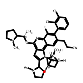 CC(=O)N1CCCC1c1cc2c(O[C@@H](C)C3CCCN3C)nc3c(F)c(-c4cccc(Cl)c4Cl)c(CCC#N)cc3c2n1[C@H]1[C@@H]2C[C@H]1N(C(=O)O)C2